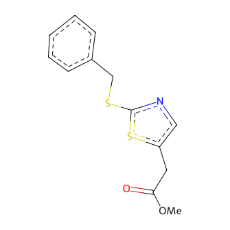 COC(=O)Cc1cnc(SCc2ccccc2)s1